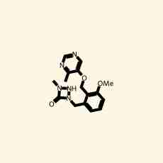 COc1cccc(Cn2[nH]n(C)c2=O)c1COc1cncnc1C